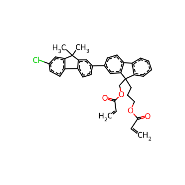 C=CC(=O)OCCCC1(COC(=O)C=C)c2ccccc2-c2ccc(-c3ccc4c(c3)C(C)(C)c3cc(Cl)ccc3-4)cc21